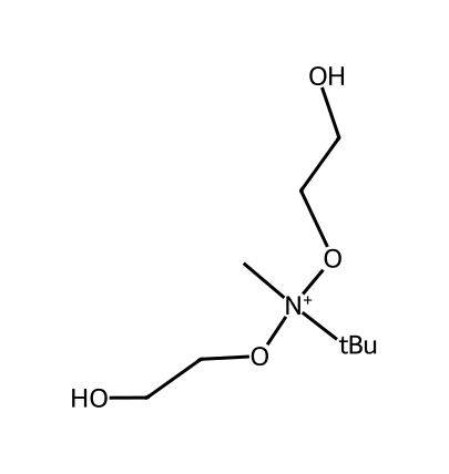 CC(C)(C)[N+](C)(OCCO)OCCO